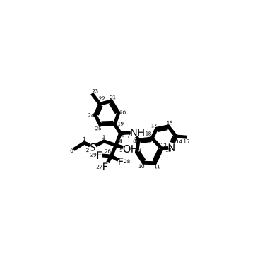 CCSCC(O)(C(Nc1cccc2nc(C)ccc12)c1ccc(C)cc1)C(F)(F)F